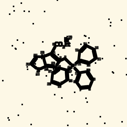 CCOC(=O)c1c(C[P+](c2ccccc2)(c2ccccc2)c2ccccc2)nc2sccn12.[Br-]